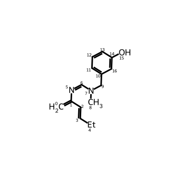 C=C(/C=C/CC)/N=C\N(C)Cc1cccc(O)c1